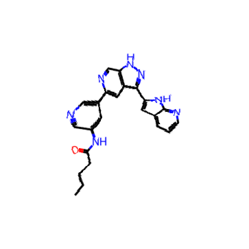 CCCCC(=O)Nc1cncc(-c2cc3c(-c4cc5cccnc5[nH]4)n[nH]c3cn2)c1